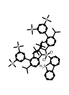 CC(C)c1ccc2c(c1-c1cc([Si](C)(C)C)cc([Si](C)(C)C)c1)C=C(C(C)(C)C)[CH]2[Zr]([Cl])([Cl])([c]1cccc2c1[SiH2]c1ccccc1-2)[CH]1C(C(C)(C)C)=Cc2c1ccc(C(C)C)c2-c1cc([Si](C)(C)C)cc([Si](C)(C)C)c1